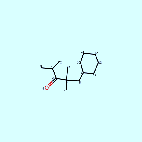 CC(C)C(=O)C(C)(C)CC1CCCCC1